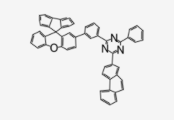 c1ccc(-c2nc(-c3cccc(-c4ccc5c(c4)C4(c6ccccc6O5)c5ccccc5-c5ccccc54)c3)nc(-c3ccc4c(ccc5ccccc54)c3)n2)cc1